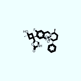 C[C@H]1CC[C@H](c2ccccc2)S(=O)(=O)N1Cc1cc(F)c([C@]2([C@@H]3CNC(=O)O3)C[C@](C)(O)C2)cc1F